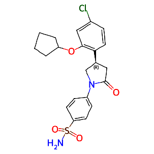 NS(=O)(=O)c1ccc(N2C[C@@H](c3ccc(Cl)cc3OC3CCCC3)CC2=O)cc1